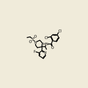 CCS(=O)(=O)N1CCC(c2ncccc2F)(C(C)NC(=O)c2ccc(Cl)cc2Cl)CC1